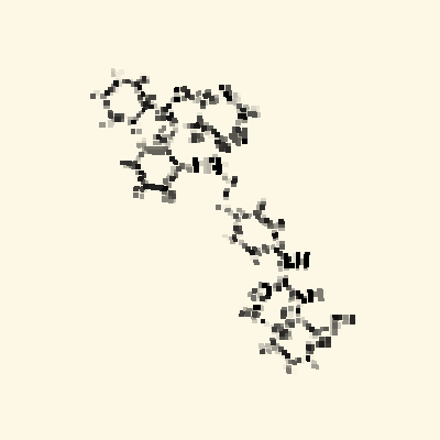 O=C(Nc1ccc(CCNc2ncnc3oc(-c4ccccc4)c(-c4ccccc4)c23)cc1)Nc1c(F)cccc1F